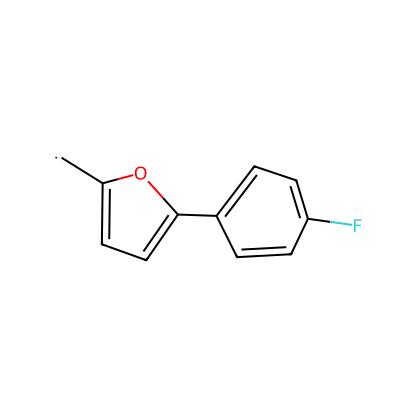 [CH2]c1ccc(-c2ccc(F)cc2)o1